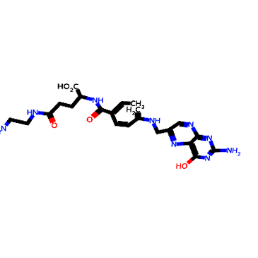 C=C(/C=C\C(=C/C)C(=O)NC(CCC(=O)NCCN)C(=O)O)NCc1cnc2nc(N)nc(O)c2n1